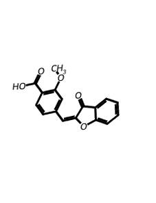 COc1cc(C=C2Oc3ccccc3C2=O)ccc1C(=O)O